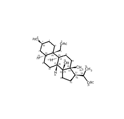 CC(=O)OC[C@]12CC[C@H](O)C[C@@H]1CC[C@@H]1[C@@H]2CC[C@]2(C)[C@@H](C(C)OC(C)=O)CC[C@]12O